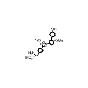 CCOC(=O)[C@@H](N)Cc1ccc(-c2noc(-c3ccc(OC)c(-c4ccc(O)cc4)c3)n2)cc1.Cl